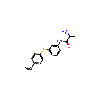 CSc1ccc(Sc2cccc(NC(=O)C(C)N)c2)cc1